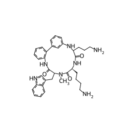 CN1C(=O)[C@H](CCCCN)NC(=O)C(CCCN)Nc2cccc(c2)-c2ccccc2NC(=O)C1Cc1c[nH]c2ccccc12